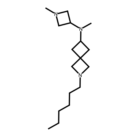 CCCCCCN1CC2(CC(N(C)C3CN(C)C3)C2)C1